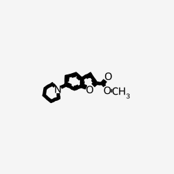 COC(=O)c1cc2ccc(N3CCCCC3)cc2o1